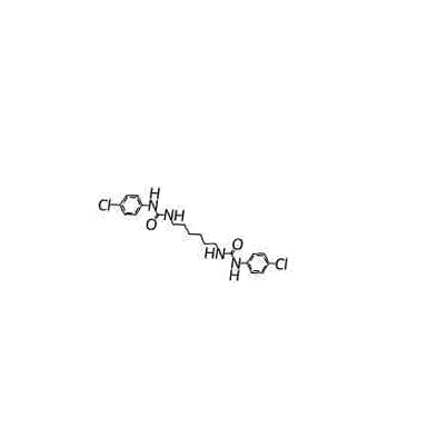 O=C(NCCCCCCNC(=O)Nc1ccc(Cl)cc1)Nc1ccc(Cl)cc1